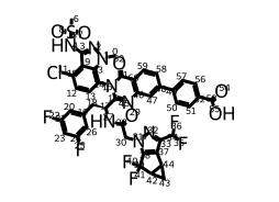 Cn1nc(NS(C)(=O)=O)c2c(Cl)ccc(-n3c([C@H](Cc4cc(F)cc(F)c4)NC(=O)Cn4nc(C(F)F)c5c4C(F)(F)C4CC54)nc4cc(-c5ccc(C(=O)O)cc5)ccc4c3=O)c21